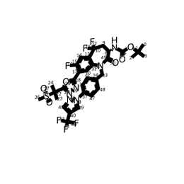 CC(C)(C)OC(=O)N[C@@H]1CC(F)(F)c2cc(F)c(-c3nnc(C(C)(C)S(C)(=O)=O)o3)cc2N(Cc2ccc(-n3cc(C(F)(F)F)cn3)cc2)C1=O